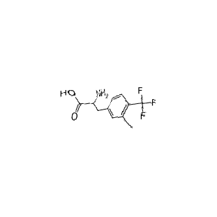 Cc1cc(CC(N)C(=O)O)ccc1C(F)(F)F